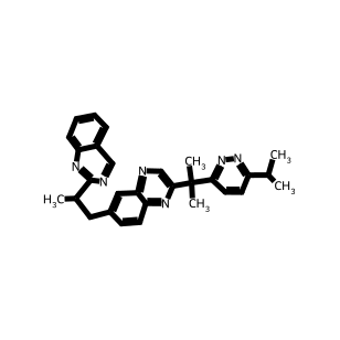 CC(C)c1ccc(C(C)(C)c2cnc3cc(CC(C)c4ncc5ccccc5n4)ccc3n2)nn1